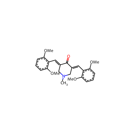 COc1cccc(OC)c1/C=C1\CN(C)C/C(=C\c2c(OC)cccc2OC)C1=O